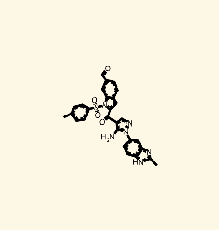 Cc1ccc(S(=O)(=O)n2c(C(=O)c3cnn(-c4ccc5[nH]c(C)nc5c4)c3N)cc3ccc(C=O)cc32)cc1